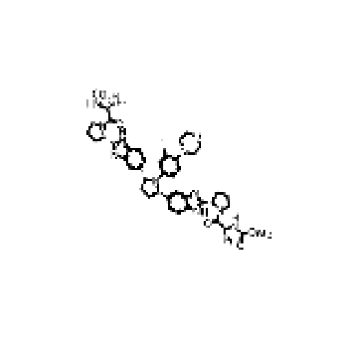 COC(=O)N[C@H](C(=O)N1CCC[C@H]1c1nc2cc([C@H]3CC[C@H](c4ccc5[nH]c([C@@H]6CCCN6C(=O)[C@@H](NC(=O)O)C(C)C)nc5c4)N3c3ccc(N4CCOCC4)c(F)c3)ccc2[nH]1)C(C)C